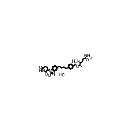 C[C@@H](OCc1ccc(CCCCc2ccc3c(c2)n(C)c(=O)n3C2CCC(=O)NC2=O)cc1)[C@@H](N)CCC(N)=O.Cl